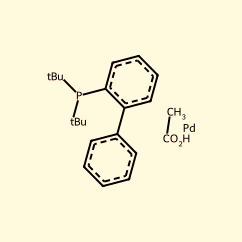 CC(=O)O.CC(C)(C)P(c1ccccc1-c1ccccc1)C(C)(C)C.[Pd]